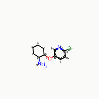 NC1CCCCC1Oc1ccc(Br)nc1